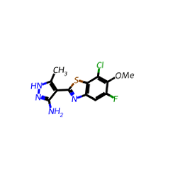 COc1c(F)cc2nc(-c3c(N)n[nH]c3C)sc2c1Cl